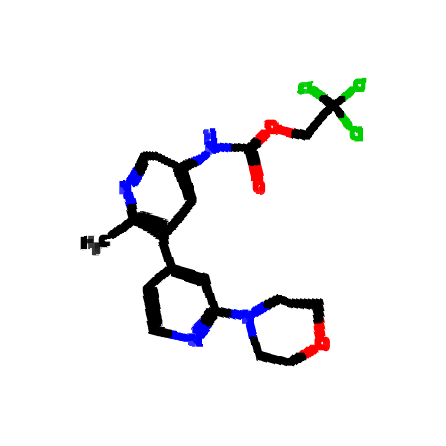 Cc1ncc(NC(=O)OCC(Cl)(Cl)Cl)cc1-c1ccnc(N2CCOCC2)c1